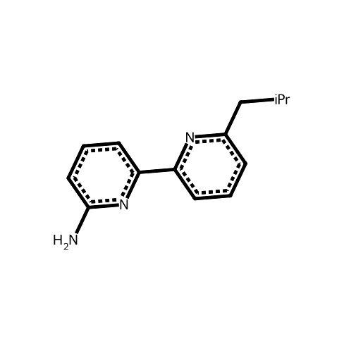 CC(C)Cc1cccc(-c2cccc(N)n2)n1